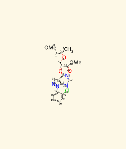 COC[C@@H](C)OC[C@H](Oc1ncnc2c1cnn2-c1ccccc1Cl)C(=O)OC